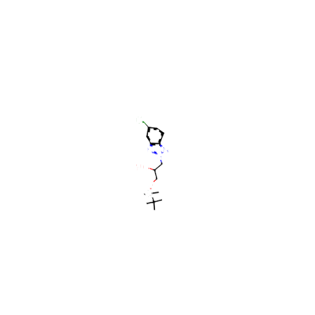 CC(C)(C)[Si](C)(C)OCC(O)Cn1nc2ccc(Cl)cc2n1